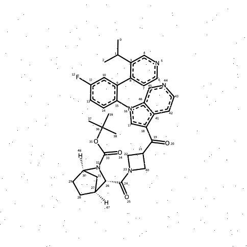 CC(C)c1cnccc1-c1cc(F)ccc1-n1cc(C(=O)C2CN(C(=O)[C@@H]3[C@H]4CC[C@H](C4)N3C(=O)OC(C)(C)C)C2)c2ccncc21